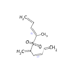 C=C/C=C\C(=C)S(=O)(=O)/C(C)=C/C=C